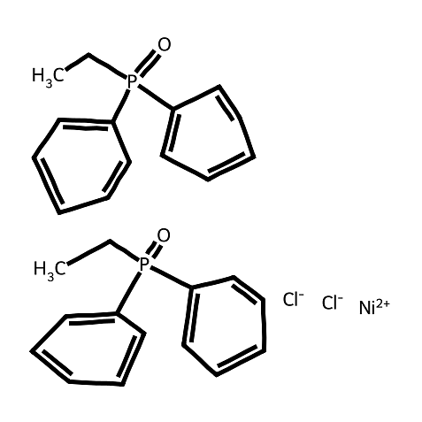 CCP(=O)(c1ccccc1)c1ccccc1.CCP(=O)(c1ccccc1)c1ccccc1.[Cl-].[Cl-].[Ni+2]